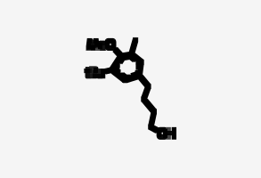 COc1c(C)cc(CCCCO)cc1C(C)(C)C